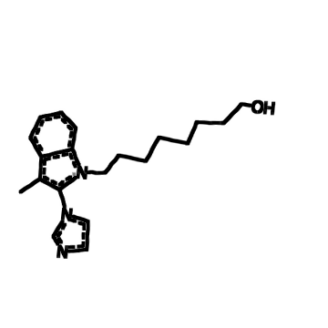 Cc1c(-n2ccnc2)n(CCCCCCCCO)c2ccccc12